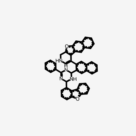 C1=C(c2cc3ccccc3cc2C2NC(c3ccccc3)=NC(c3cccc4oc5ccccc5c34)N2)c2c(oc3cc4ccccc4cc23)CN1